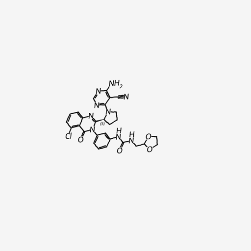 N#Cc1c(N)ncnc1N1CCC[C@H]1c1nc2cccc(Cl)c2c(=O)n1-c1cccc(NC(=O)NCC2OCCO2)c1